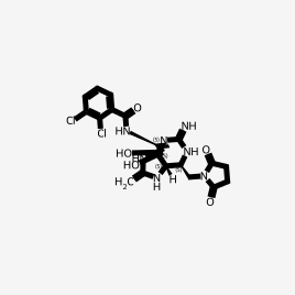 C=C1N[C@H]2[C@H](CN3C(=O)CCC3=O)NC(=N)N3C[C@H](NC(=O)c4cccc(Cl)c4Cl)C(O)(O)[C@]23N1